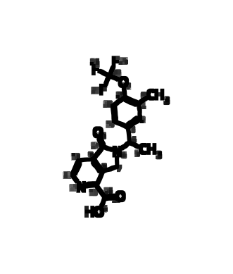 Cc1cc(C(C)N2Cc3c(ccnc3C(=O)O)C2=O)ccc1OC(F)(F)F